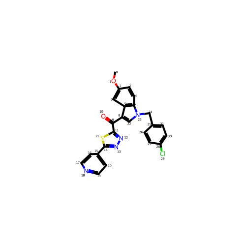 COc1ccc2c(c1)c(C(=O)c1nnc(-c3ccncc3)s1)cn2Cc1ccc(Cl)cc1